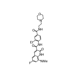 CCc1cc(C(=O)NCCN2CCOCC2)ccc1NC(=O)c1cc2cc(F)cc(NC)c2[nH]c1=O